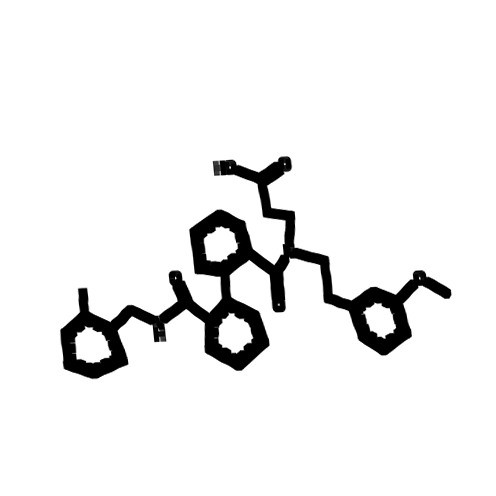 COc1cccc(CCN(CCC(=O)O)C(=O)c2ccccc2-c2ccccc2C(=O)NCc2ccccc2C)c1